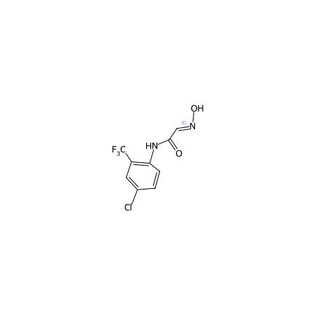 O=C(/C=N/O)Nc1ccc(Cl)cc1C(F)(F)F